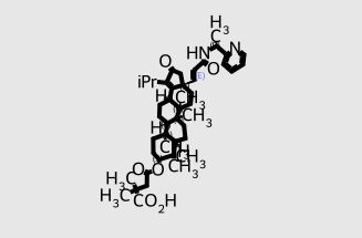 CC(C)C1=C2[C@H]3CC[C@@H]4[C@@]5(C)CC[C@H](OC(=O)CC(C)(C)C(=O)O)C(C)(C)[C@@H]5CC[C@@]4(C)[C@]3(C)CC[C@@]2(/C=C/C(=O)N[C@H](C)c2ccccn2)CC1=O